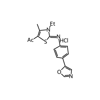 CCn1c(C)c(C(C)=O)s/c1=N\c1ccc(-c2cnco2)cc1.Cl